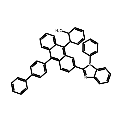 CC1C=CC=CC1c1c2ccccc2c(-c2ccc(-c3ccccc3)cc2)c2ccc(-c3nc4ccccc4n3-c3ccccc3)cc12